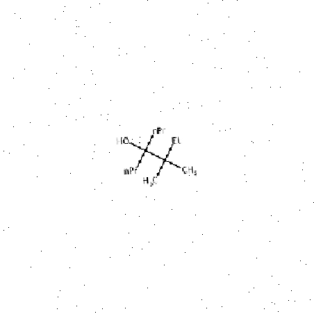 CCCC(O)(CCC)C(C)(C)CC